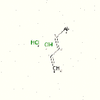 C=CC=[CH][Al].Cl.Cl